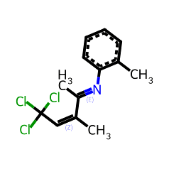 CC(=C/C(Cl)(Cl)Cl)/C(C)=N/c1ccccc1C